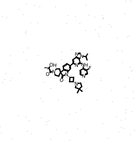 CC(C)n1cnc2cc(-c3ccc4c(c3)N([C@H]3C[C@@H](N5CCC(C)(C)C5)C3)C(=O)C43CCN(C(=O)[C@@H](C)O)CC3)nc(Nc3ccncc3F)c21